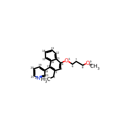 CCc1cc(OCCCOC)c2ccccc2c1-c1cccnc1